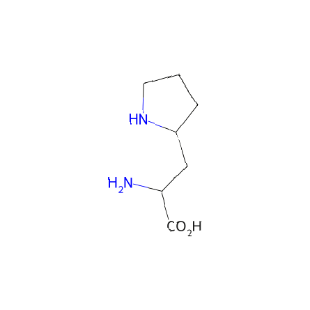 NC(CC1CCCN1)C(=O)O